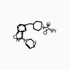 CC(C)S(=O)(=O)N1CCC(Cc2ccc3onc(N4C=CC=NC4)c3c2)CC1